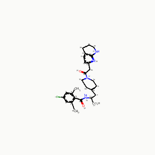 Cc1cc(F)cc(C)c1C(=O)NC(CC1CCN(C(=O)Cc2ccc3c(n2)NCCC3)CC1)C(=O)O